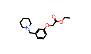 CCOC(=O)COc1cccc(CN2CCCCC2)c1